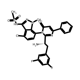 Cn1nc(NS(C)(=O)=O)c2c(Cl)ccc(-n3c([C@@H](N)Cc4cc(F)cc(F)c4)nc(-c4ccccc4)cc3=O)c21